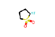 F.O=S1(=O)CCCC1